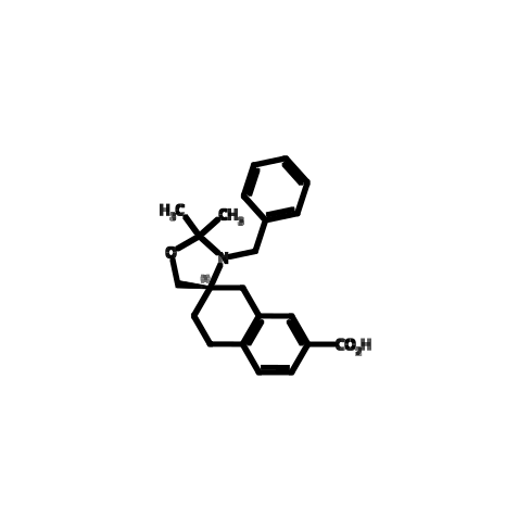 CC1(C)OC[C@@]2(CCc3ccc(C(=O)O)cc3C2)N1Cc1ccccc1